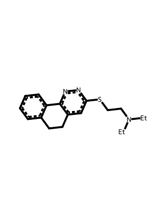 CCN(CC)CCSc1cc2c(nn1)-c1ccccc1CC2